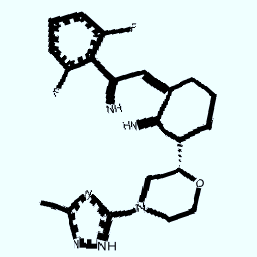 Cc1n[nH]c(N2CCO[C@@H](C3CCC/C(=C/C(=N)c4c(F)cccc4F)C3=N)C2)n1